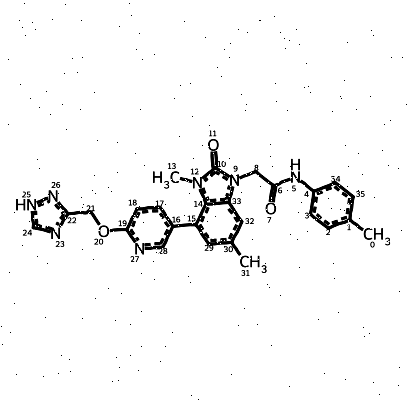 Cc1ccc(NC(=O)Cn2c(=O)n(C)c3c(-c4ccc(OCc5nc[nH]n5)nc4)cc(C)cc32)cc1